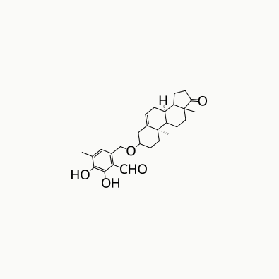 Cc1cc(COC2CC[C@@]3(C)C(=CC[C@H]4C5CCC(=O)C5(C)CCC43)C2)c(C=O)c(O)c1O